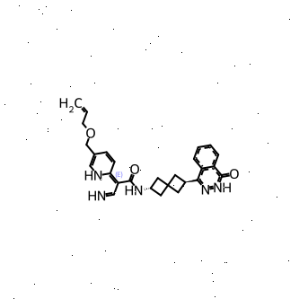 C=CCOCC1=CN/C(=C(\C=N)C(=O)N[C@H]2CC3(C2)C[C@H](c2n[nH]c(=O)c4ccccc42)C3)C=C1